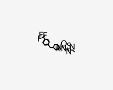 Cc1nsc(NC(=O)N2CCC(Cc3ccc(C(F)(F)F)cc3)CC2)n1